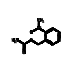 C[S+]([O-])c1ccccc1COC(N)=O